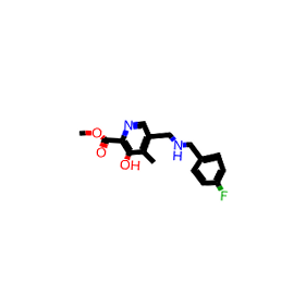 COC(=O)c1ncc(CNCc2ccc(F)cc2)c(C)c1O